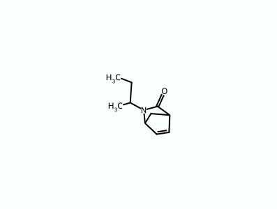 CCC(C)N1C(=O)C2C=CC1C2